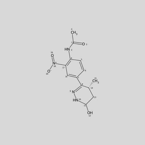 CC(=O)Nc1ccc(C2=NNC(O)C[C@H]2C)cc1[N+](=O)[O-]